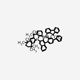 CC1(C)CCC(C)(C)c2cc3c(cc21)N1c2cc4ccccc4c4c2B(c2cccc(c21)C3(C)C)N(c1cccc2c1C(C)(C)c1ccccc1-2)c1cc(-c2ccccc2)ccc1-4